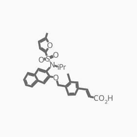 Cc1ccc(S(=O)(=O)N(c2cc3ccccc3cc2OCc2ccc(C=CC(=O)O)cc2C)C(C)C)o1